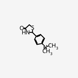 CN(C)c1ccc(C2NC(=O)CS2)cc1